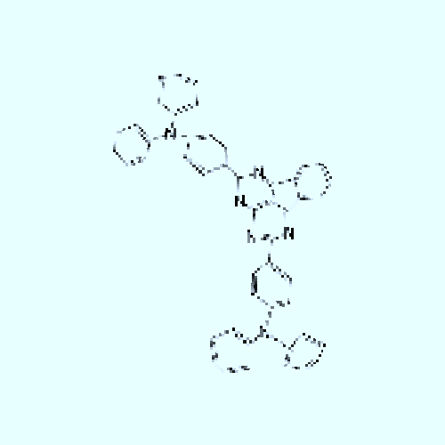 c1ccc(N(c2ccccc2)c2ccc(-c3nc4c5c(nc(-c6ccc(N(c7ccccc7)c7ccccc7)cc6)nc5n3)-c3ccccc3-4)cc2)cc1